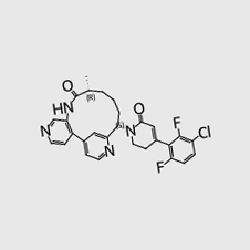 C[C@@H]1CCC[C@H](N2CCC(c3c(F)ccc(Cl)c3F)=CC2=O)c2cc(ccn2)-c2ccncc2NC1=O